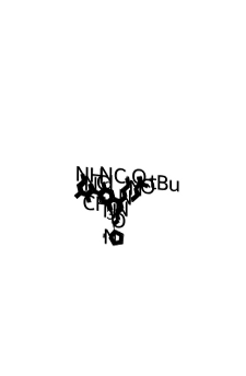 Cc1cc(N)nc(-c2cc3nc(OC[C@@H]4CCCN4C)nc(N4CCN(C(=O)OC(C)(C)C)C(CC#N)C4)c3cc2Cl)c1C(F)(F)F